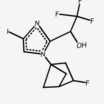 OC(c1nc(I)cn1C12CC(F)C(C1)C2)C(F)(F)F